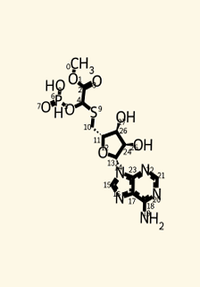 COC(=O)C(O[PH](=O)O)SC[C@H]1O[C@@H](n2cnc3c(N)ncnc32)[C@H](O)[C@@H]1O